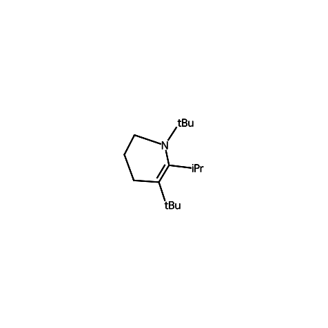 CC(C)C1=C(C(C)(C)C)CCCN1C(C)(C)C